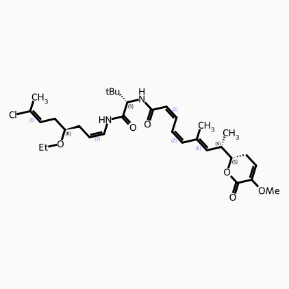 CCO[C@H](C/C=C\NC(=O)[C@@H](NC(=O)\C=C/C=C\C(C)=C\[C@H](C)[C@@H]1CC=C(OC)C(=O)O1)C(C)(C)C)C/C=C(\C)Cl